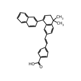 CC1(C)CC=C(c2ccc3ccccc3c2)c2cc(/C=C/c3ccc(C(=O)O)cc3)ccc21